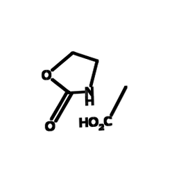 CC(=O)O.O=C1NCCO1